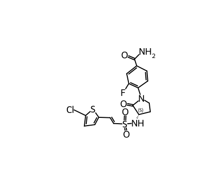 NC(=O)c1ccc(N2CC[C@H](NS(=O)(=O)C=Cc3ccc(Cl)s3)C2=O)c(F)c1